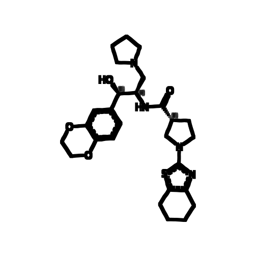 O=C(N[C@H](CN1CCCC1)[C@H](O)c1ccc2c(c1)OCCO2)[C@@H]1CCN(c2nc3c(s2)CCCC3)C1